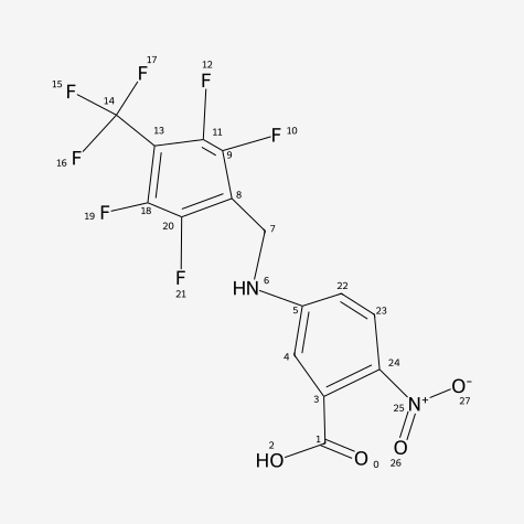 O=C(O)c1cc(NCc2c(F)c(F)c(C(F)(F)F)c(F)c2F)ccc1[N+](=O)[O-]